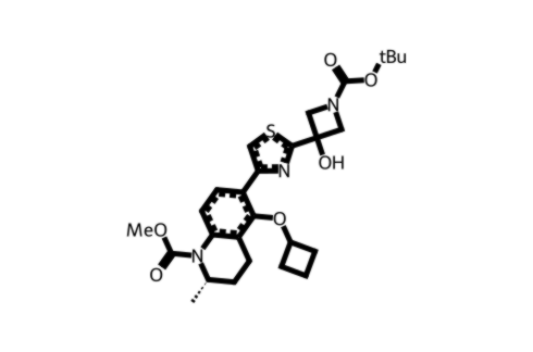 COC(=O)N1c2ccc(-c3csc(C4(O)CN(C(=O)OC(C)(C)C)C4)n3)c(OC3CCC3)c2CC[C@@H]1C